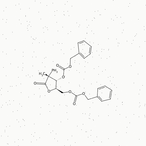 C[C@]1(P)C(=O)O[C@H](COC(=O)OCc2ccccc2)[C@H]1OC(=O)OCc1ccccc1